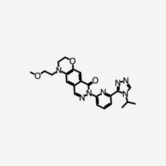 COCCN1CCOc2cc3c(=O)n(-c4cccc(-c5nncn5C(C)C)n4)ncc3cc21